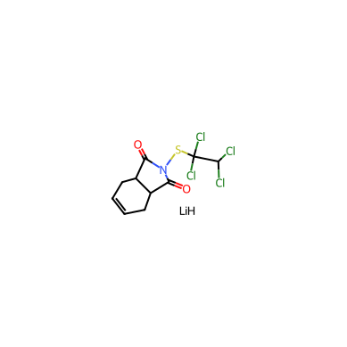 O=C1C2CC=CCC2C(=O)N1SC(Cl)(Cl)C(Cl)Cl.[LiH]